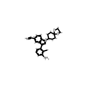 Cc1c(N)cccc1-c1cn(C2CCC3(CC2)OCCO3)c2ccc(C#N)cc12